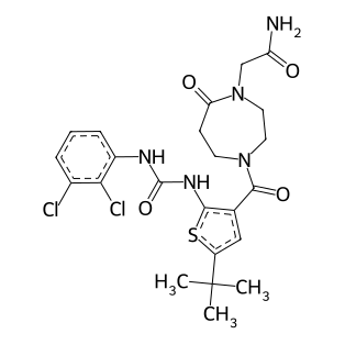 CC(C)(C)c1cc(C(=O)N2CCC(=O)N(CC(N)=O)CC2)c(NC(=O)Nc2cccc(Cl)c2Cl)s1